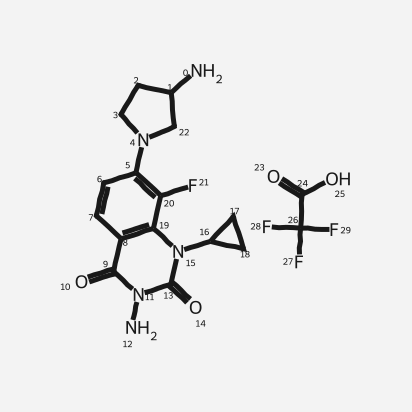 NC1CCN(c2ccc3c(=O)n(N)c(=O)n(C4CC4)c3c2F)C1.O=C(O)C(F)(F)F